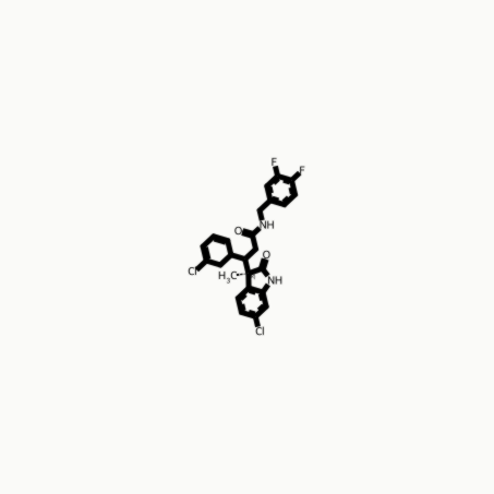 C[C@]1(C(CC(=O)NCc2ccc(F)c(F)c2)C2C=CC=C(Cl)C2)C(=O)Nc2cc(Cl)ccc21